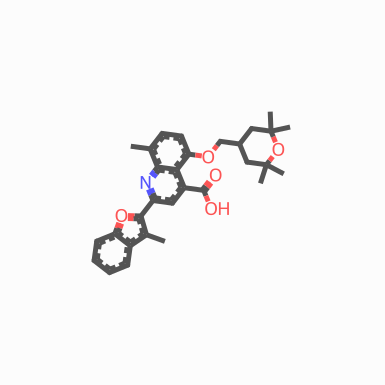 Cc1c(-c2cc(C(=O)O)c3c(OCC4CC(C)(C)OC(C)(C)C4)ccc(C)c3n2)oc2ccccc12